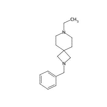 CCN1CCC2(CC1)CN(Cc1ccccc1)C2